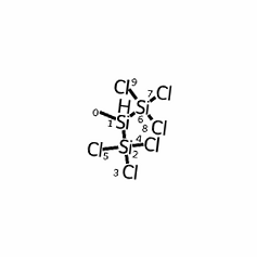 C[SiH]([Si](Cl)(Cl)Cl)[Si](Cl)(Cl)Cl